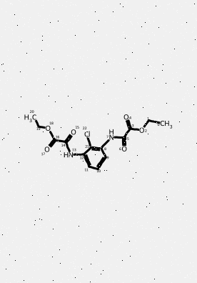 CCOC(=O)C(=O)Nc1cccc(NC(=O)C(=O)OCC)c1Cl